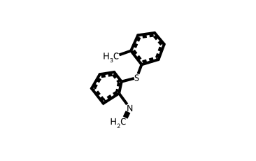 C=Nc1ccccc1Sc1ccccc1C